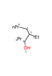 CCCCC(CC)CO.[Pr]